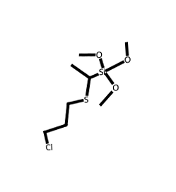 CO[Si](OC)(OC)C(C)SCCCCl